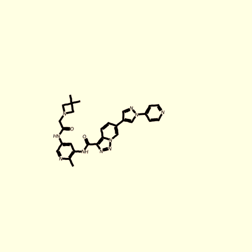 Cc1ncc(NC(=O)CN2CC(C)(C)C2)cc1NC(=O)c1nnn2cc(-c3cnn(-c4ccncc4)c3)ccc12